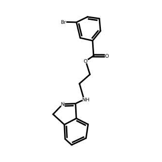 O=C(OCCNC1=NCc2ccccc21)c1cccc(Br)c1